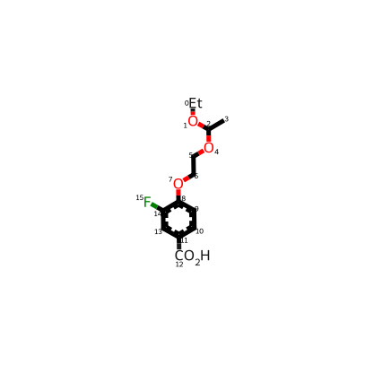 CCOC(C)OCCOc1ccc(C(=O)O)cc1F